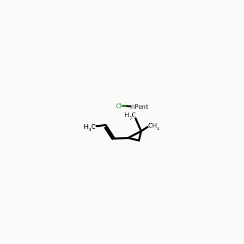 CC=CC1CC1(C)C.CCCCCCl